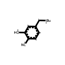 CC(C)(C)Cc1ccc(C#N)c(O)c1